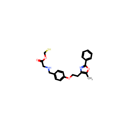 Cc1oc(-c2ccccc2)nc1CCOc1ccc(CNCC(=O)OCS)cc1